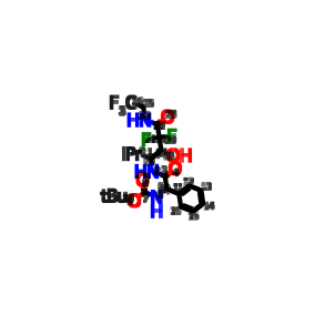 CC(C)[C@H](NC(=O)[C@@H](NC(=O)OC(C)(C)C)c1ccccc1)[C@@H](O)C(F)(F)C(=O)NCC(F)(F)F